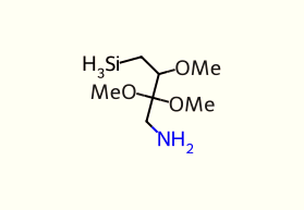 COC(C[SiH3])C(CN)(OC)OC